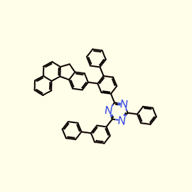 c1ccc(-c2cccc(-c3nc(-c4ccccc4)nc(-c4ccc(-c5ccccc5)c(-c5ccc6c(c5)Cc5ccc7ccccc7c5-6)c4)n3)c2)cc1